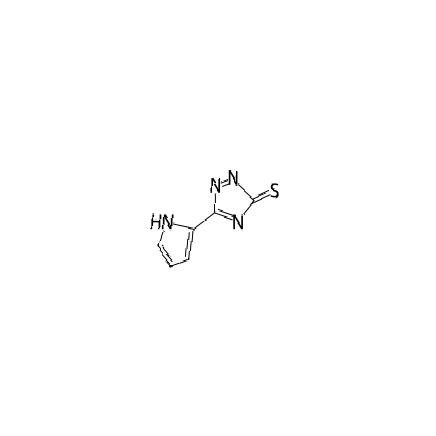 S=C1N=NC(c2ccc[nH]2)=N1